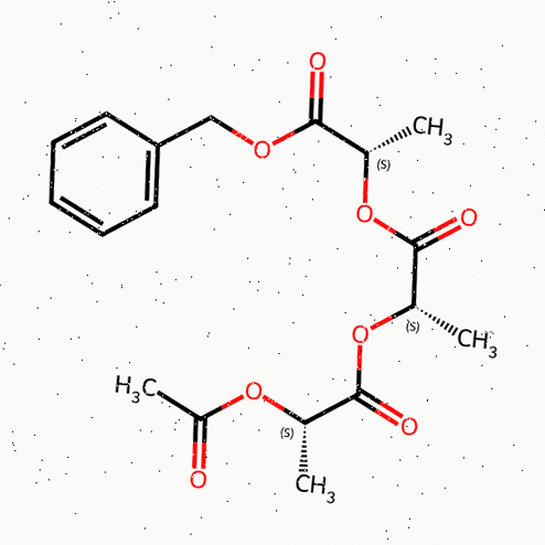 CC(=O)O[C@@H](C)C(=O)O[C@@H](C)C(=O)O[C@@H](C)C(=O)OCc1ccccc1